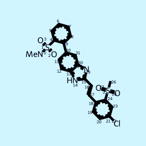 CNS(=O)(=O)c1ccccc1-c1ccc2[nH]c(/C=C/c3ccc(Cl)cc3S(C)(=O)=O)nc2c1